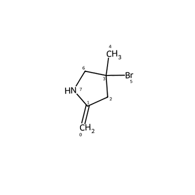 C=C1CC(C)(Br)CN1